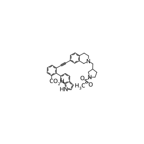 CS(=O)(=O)N1CCC(CN2CCc3ccc(C#Cc4cccc(C(=O)O)c4-c4ccc5cc[nH]c5c4)cc3C2)C1